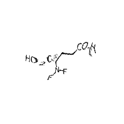 O=C(O)CC[C@@H](C(=O)O)N(F)F